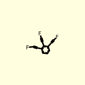 FC#Cc1cccc(C#CF)c1C#CF